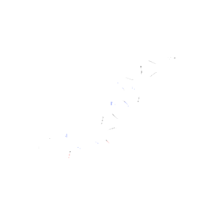 COc1ccc(-c2cnc3c(Nc4ccc(C(=O)N5CCN(C(=O)[C@@H]6C[C@@](O)(C(F)(F)F)CN6)CC5)c(C)c4)nccn23)c(F)c1F.Cl